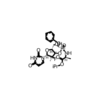 CC(C)OC(=O)[C@H](C)N[P@@](=O)(COc1ccccc1)O[C@@H]1[C@@H](CO)O[C@@H](n2ccc(=O)[nH]c2=O)[C@]1(C)F